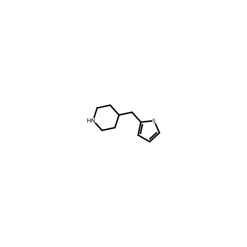 c1csc(CC2CCNCC2)c1